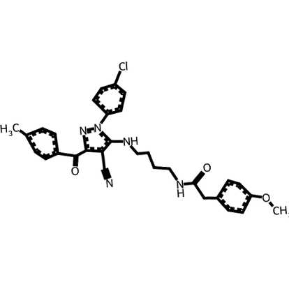 COc1ccc(CC(=O)NCCCCNc2c(C#N)c(C(=O)c3ccc(C)cc3)nn2-c2ccc(Cl)cc2)cc1